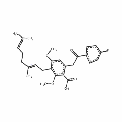 COc1cc(CC(=O)c2ccc(F)cc2)c(C(=O)O)c(OC)c1C/C=C(\C)CCC=C(C)C